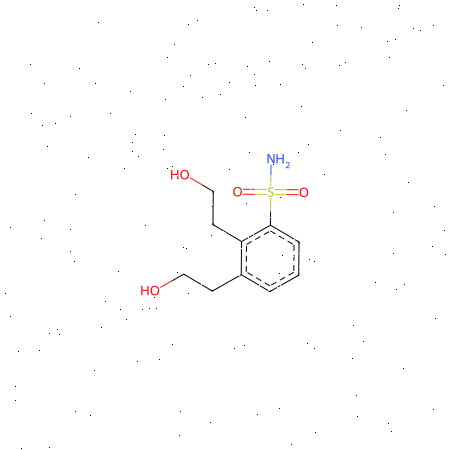 NS(=O)(=O)c1cccc(CCO)c1CCO